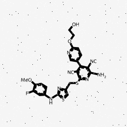 [C-]#[N+]c1c(N)nc(SCc2csc(Nc3ccc(OC)c(F)c3)n2)c(C#N)c1-c1ccc(OCCO)nc1